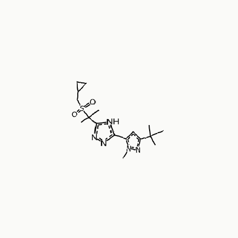 Cn1nc(C(C)(C)C)cc1-c1nnc(C(C)(C)S(=O)(=O)CC2CC2)[nH]1